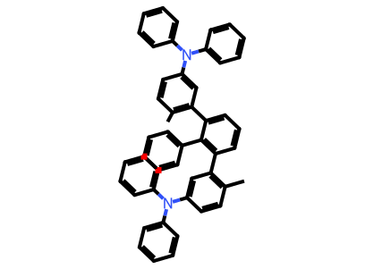 Cc1ccc(N(c2ccccc2)c2ccccc2)cc1-c1cccc(-c2cc(N(c3ccccc3)c3ccccc3)ccc2C)c1-c1ccccc1